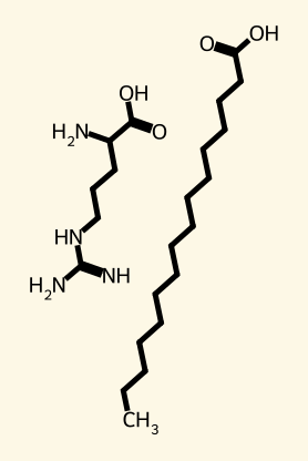 CCCCCCCCCCCCCCCC(=O)O.N=C(N)NCCCC(N)C(=O)O